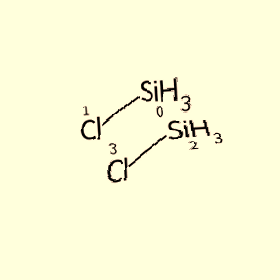 [SiH3]Cl.[SiH3]Cl